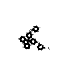 Cc1cccc(Oc2ccc(C3(c4ccc(Oc5ccccn5)cc4)c4ccccc4-c4ccccc43)cc2)n1